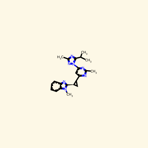 Cc1nc(C2C[C@H]2c2nc3ccccc3n2C)cc(-n2nc(C)nc2C(C)C)n1